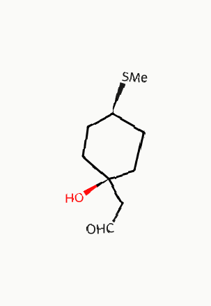 CS[C@H]1CC[C@](O)(CC=O)CC1